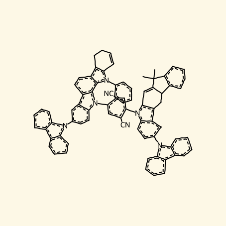 CC1(C)C2=Cc3c(c4cc(-n5c6ccccc6c6ccccc65)ccc4n3-c3cc(C#N)c(-n4c5ccc(-n6c7ccccc7c7ccccc76)cc5c5ccc6c7c(n(-c8ccccc8)c6c54)C=CCC7)cc3C#N)CC2c2ccccc21